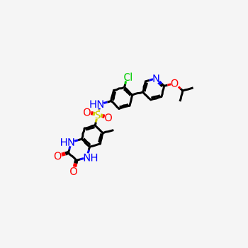 Cc1cc2[nH]c(=O)c(=O)[nH]c2cc1S(=O)(=O)Nc1ccc(-c2ccc(OC(C)C)nc2)c(Cl)c1